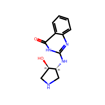 O=c1[nH]c(N[C@@H]2CNC[C@H]2O)nc2ccccc12